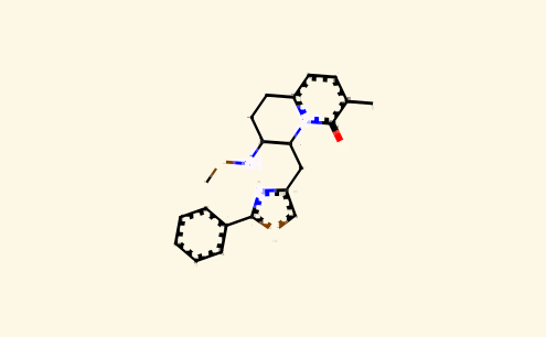 CSNC1CCc2ccc(C)c(=O)n2C1Cc1csc(-c2ccccc2)n1